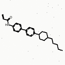 C=CC(=O)Nc1ccc(-c2ccc(C3CCC(CCCCC)CC3)cc2)cc1